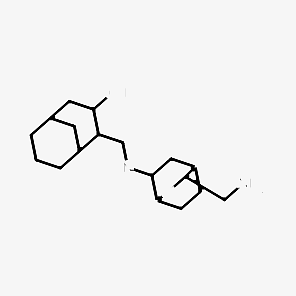 CC1CC2CCCC(C2)C1CNC1CC2CCC1CC2CN